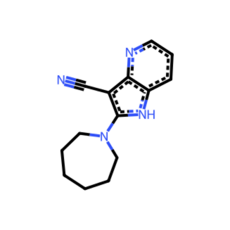 N#Cc1c(N2CCCCCC2)[nH]c2cccnc12